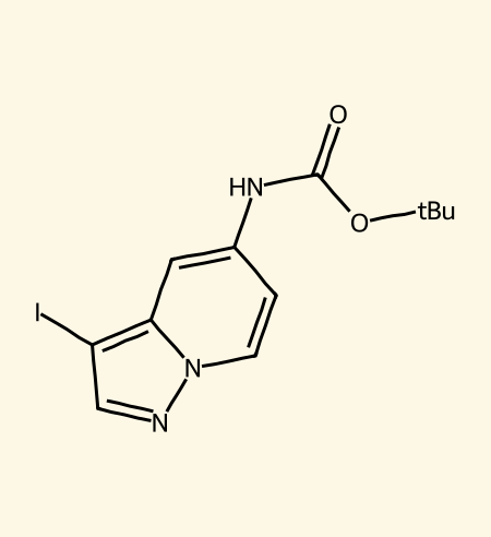 CC(C)(C)OC(=O)Nc1ccn2ncc(I)c2c1